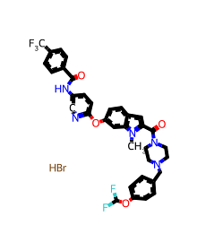 Br.Cn1c(C(=O)N2CCN(Cc3ccc(OC(F)F)cc3)CC2)cc2ccc(Oc3ccc(NC(=O)c4ccc(C(F)(F)F)cc4)cn3)cc21